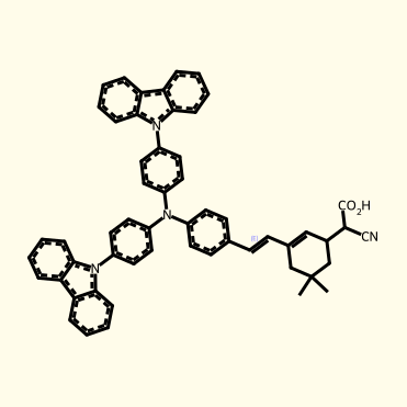 CC1(C)CC(/C=C/c2ccc(N(c3ccc(-n4c5ccccc5c5ccccc54)cc3)c3ccc(-n4c5ccccc5c5ccccc54)cc3)cc2)=CC(C(C#N)C(=O)O)C1